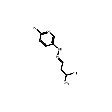 CC(C)CC=NNc1ccc(Br)nc1